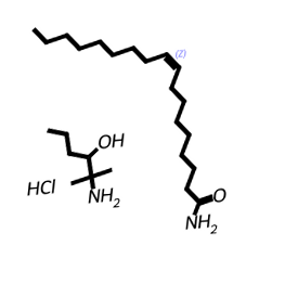 CCCC(O)C(C)(C)N.CCCCCCCC/C=C\CCCCCCCC(N)=O.Cl